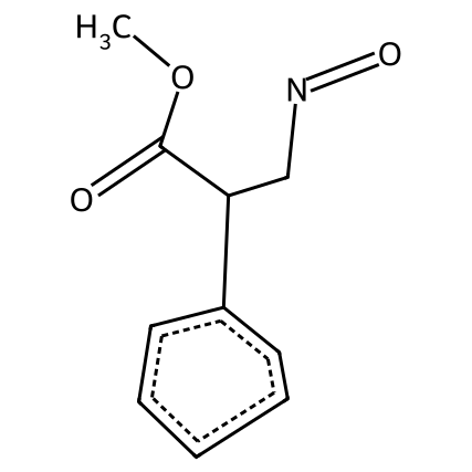 COC(=O)C(CN=O)c1ccccc1